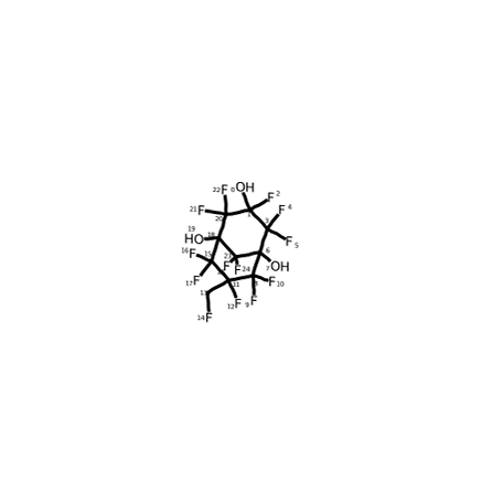 OC1(F)C(F)(F)C2(O)C(F)(F)C(F)(CF)C(F)(F)C(O)(C1(F)F)C2(F)F